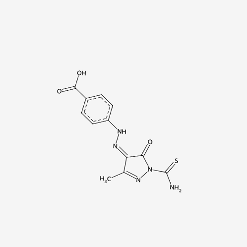 CC1=NN(C(N)=S)C(=O)C1=NNc1ccc(C(=O)O)cc1